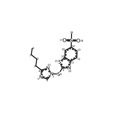 CCCCc1ncn(Sc2nc3ccc(S(C)(=O)=O)cc3s2)n1